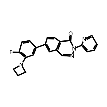 O=c1c2ccc(-c3ccc(F)c(N4CCC4)c3)cc2cnn1-c1ccccn1